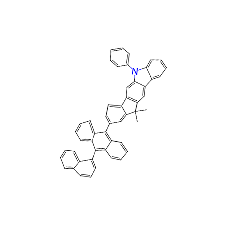 CC1(C)c2cc(-c3c4ccccc4c(-c4cccc5ccccc45)c4ccccc34)ccc2-c2cc3c(cc21)c1ccccc1n3-c1ccccc1